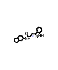 O=C(/C=C/c1n[nH]c2ccccc12)Nc1ccc2c(c1)CCC2